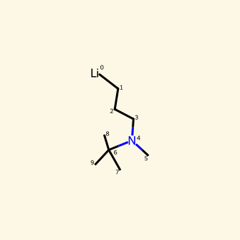 [Li][CH2]CCN(C)C(C)(C)C